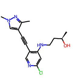 Cc1nn(C)cc1C#Cc1cnc(Cl)cc1NCC[C@@H](C)O